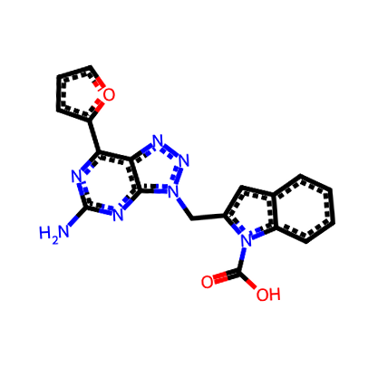 Nc1nc(-c2ccco2)c2nnn(Cc3cc4ccccc4n3C(=O)O)c2n1